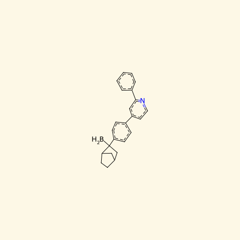 BC1(c2ccc(-c3ccnc(-c4ccccc4)c3)cc2)CC2CCC1C2